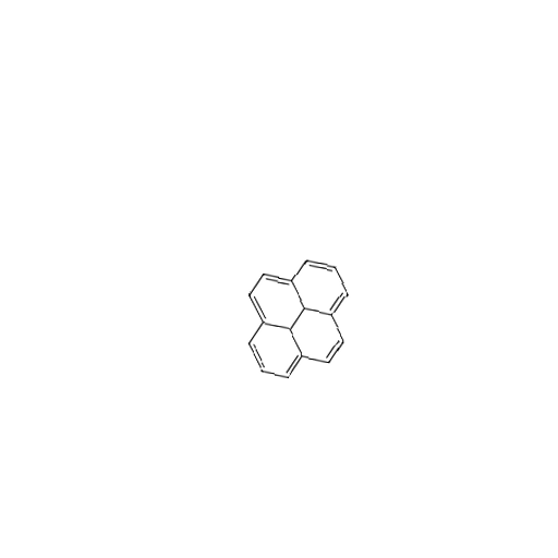 C1=CC2=CC=C3C=CC=C4C=CC(=C1)C2C43